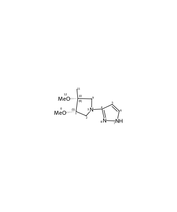 CO[C@H]1CN(c2cc[nH]n2)C[C@@]1(C)OC